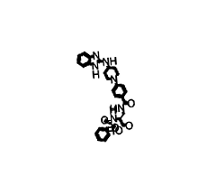 O=C(NC[C@H](NS(=O)(=O)c1ccccc1)C(=O)O)c1ccc(N2CCC(Nc3nc4ccccc4[nH]3)CC2)cc1